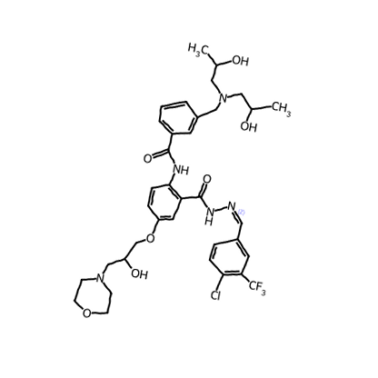 CC(O)CN(Cc1cccc(C(=O)Nc2ccc(OCC(O)CN3CCOCC3)cc2C(=O)N/N=C\c2ccc(Cl)c(C(F)(F)F)c2)c1)CC(C)O